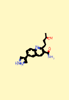 CC(O)CCc1nc2ccc(-c3cn[nH]c3)cc2cc1C(N)=O